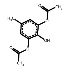 CC(=O)Oc1cc(C)cc(OC(C)=O)c1O